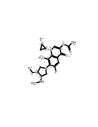 CN[C@@H]1CN(c2c(F)cc3c(=O)c(OC(=O)O)cn([C@@H]4C[C@@H]4F)c3c2C)C[C@@H]1CF